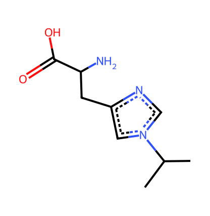 CC(C)n1cnc(CC(N)C(=O)O)c1